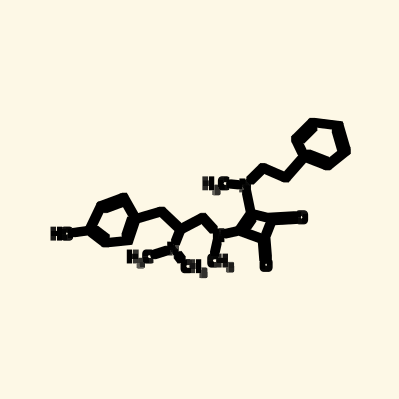 CN(CCc1ccccc1)c1c(N(C)CC(Cc2ccc(O)cc2)N(C)C)c(=O)c1=O